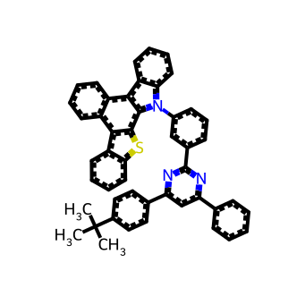 CC(C)(C)c1ccc(-c2cc(-c3ccccc3)nc(-c3cccc(-n4c5ccccc5c5c6ccccc6c6c7ccccc7sc6c54)c3)n2)cc1